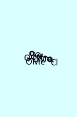 CO/C=C(/C(=O)OC)c1ccccc1CO/N=C(C)/C=C/c1ccc(Cl)cc1